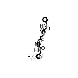 O=C(NCC1CCCCC1)c1cn(CCC(F)Cn2cc(C(=O)NCc3cc(C(F)(F)F)ccn3)nn2)nn1